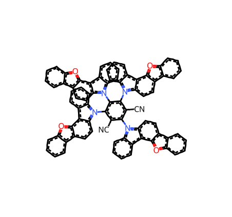 N#Cc1c(-n2c3ccccc3c3c4oc5ccccc5c4ccc32)c(C#N)c(-n2c3ccccc3c3c4oc5ccccc5c4ccc32)c(-n2c3ccccc3c3c4oc5ccccc5c4ccc32)c1-n1c2ccccc2c2c3oc4ccccc4c3ccc21